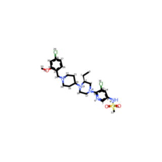 CC[C@H]1CN(c2ncc(NS(C)(=O)=O)cc2Cl)CCN1C1CCN(Cc2ccc(Cl)cc2OC)CC1